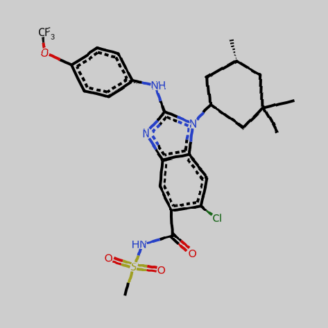 C[C@H]1CC(n2c(Nc3ccc(OC(F)(F)F)cc3)nc3cc(C(=O)NS(C)(=O)=O)c(Cl)cc32)CC(C)(C)C1